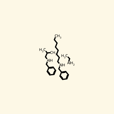 CC(C)[CH2][AlH][CH2]c1ccccc1.CCCCCCC[CH2][AlH][CH2]c1ccccc1.C[CH2][AlH2]